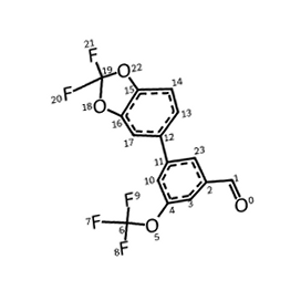 O=Cc1cc(OC(F)(F)F)cc(-c2ccc3c(c2)OC(F)(F)O3)c1